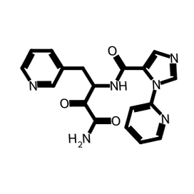 NC(=O)C(=O)C(Cc1cccnc1)NC(=O)c1cncn1-c1ccccn1